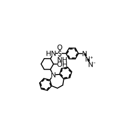 [N-]=[N+]=Nc1ccc(S(=N)(=O)NC2CCCC(N3c4ccccc4CCc4ccccc43)C2O)cc1